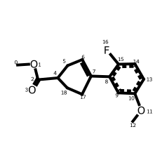 COC(=O)C1CC=C(c2cc(OC)ccc2F)CC1